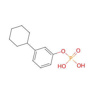 O=P(O)(O)Oc1cccc(C2CCCCC2)c1